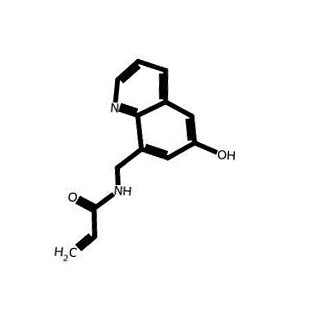 C=CC(=O)NCc1cc(O)cc2cccnc12